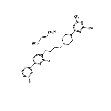 CC(C)(C)c1nc(N2CCN(CCCCn3ccc(-c4cccc(F)c4)nc3=O)CC2)cc(C(F)(F)F)n1.O=C(O)C=CC(=O)O